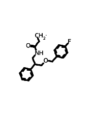 [CH2]CC(=O)NCC(COCc1ccc(F)cc1)c1ccccc1